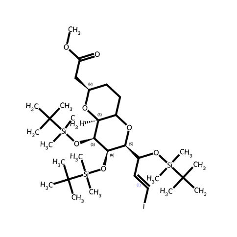 COC(=O)C[C@H]1CCC2O[C@@H](C(/C=C/I)O[Si](C)(C)C(C)(C)C)[C@@H](O[Si](C)(C)C(C)(C)C)[C@@H](O[Si](C)(C)C(C)(C)C)[C@H]2O1